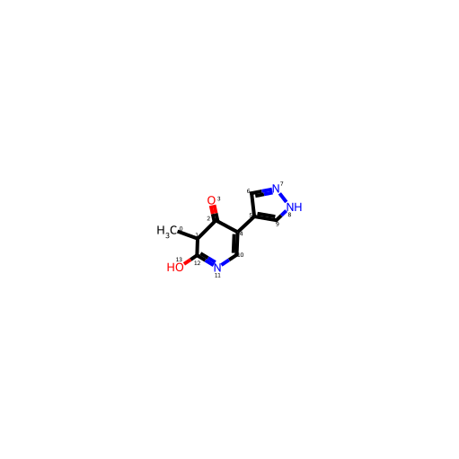 CC1C(=O)C(c2cn[nH]c2)=CN=C1O